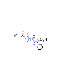 CC(C)OC(=O)N1CCN(C(=O)NC(C(=O)O)c2ccccc2)C1=O